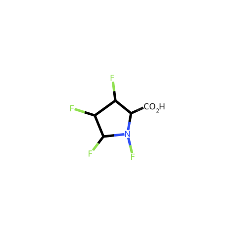 O=C(O)C1C(F)C(F)C(F)N1F